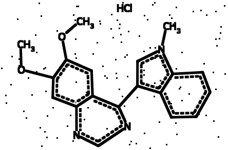 COc1cc2ncnc(-c3cn(C)c4ccccc34)c2cc1OC.Cl